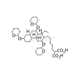 C[C@H](CCCC(C(=O)O)C(=O)O)[C@H]1CC[C@H]2[C@@H]3[C@H](OC4CCCCO4)C[C@@H]4C[C@H](OC5CCCCO5)CC[C@]4(C)[C@H]3C[C@H](OC3CCCCO3)[C@]12C